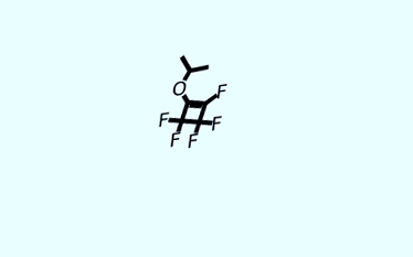 CC(C)OC1=C(F)C(F)(F)C1(F)F